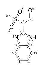 CS(=O)(=O)C(C=O)c1nc2ccccc2[nH]1